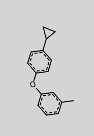 Cc1cccc(Oc2ccc(C3CC3)cc2)c1